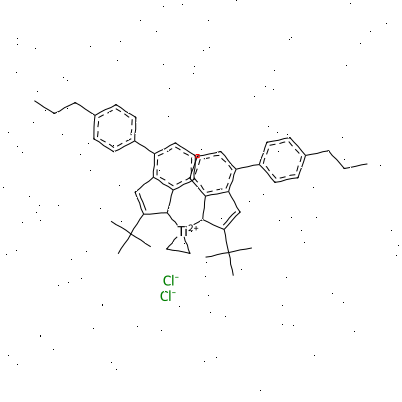 CCCc1ccc(-c2cccc3c2C=C(C(C)(C)C)[CH]3[Ti+2]2([CH]3C(C(C)(C)C)=Cc4c(-c5ccc(CCC)cc5)cccc43)[CH2][CH2]2)cc1.[Cl-].[Cl-]